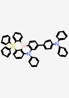 c1ccc(N(c2ccccc2)c2ccc(-c3ccc4c(c3)N(c3ccccc3)c3cccc5c3B4c3ccccc3S5(c3ccccc3)c3ccccc3)cc2)cc1